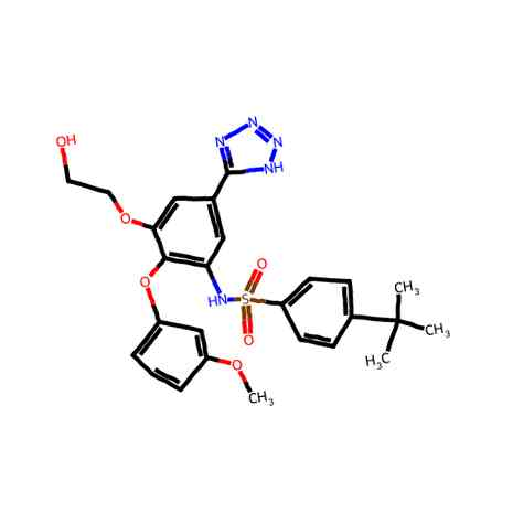 COc1cccc(Oc2c(NS(=O)(=O)c3ccc(C(C)(C)C)cc3)cc(-c3nnn[nH]3)cc2OCCO)c1